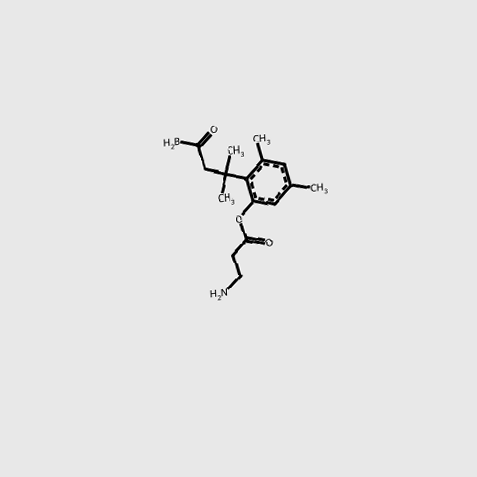 BC(=O)CC(C)(C)c1c(C)cc(C)cc1OC(=O)CCN